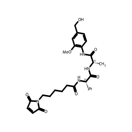 COc1cc(CO)ccc1NC(=O)[C@H](C)NC(=O)[C@@H](NC(=O)CCCCCN1C(=O)C=CC1=O)C(C)C